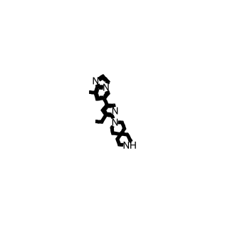 CCc1cc(-c2cc(C)c3nccn3c2)cnc1N1CCC2(CCNCC2)CC1